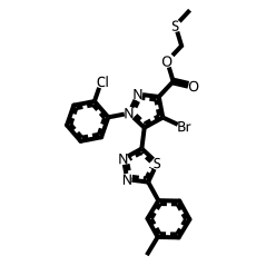 CSCOC(=O)c1nn(-c2ccccc2Cl)c(-c2nnc(-c3cccc(C)c3)s2)c1Br